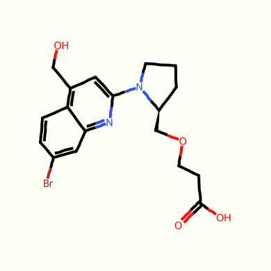 O=C(O)CCOC[C@@H]1CCCN1c1cc(CO)c2ccc(Br)cc2n1